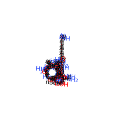 CCCC[C@H](NC(=O)[C@H](CO)NC(=O)[C@H](CCCNC(=N)N)NC(=O)COCCOCCNC(=O)CCCS(=O)(=O)NC(=O)CCCCCCCCCCCCCCCc1nnn[nH]1)C(=O)N[C@H]1CCC(=O)NCCCC[C@@H](C(N)=O)NC(=O)[C@H](Cc2c[nH]c3ccccc23)NC(=O)[C@H](CCCNC(=N)N)NC(=O)[C@@H](Cc2ccccc2)NC(=O)[C@@H]2C[C@@H](O)CN2C1=O